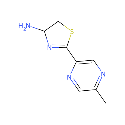 Cc1cnc(C2=NC(N)CS2)cn1